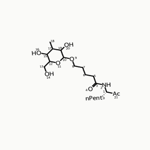 CCCCC[C@H](NC(=O)CCCCOC1OC(CO)C(O)C(C)C1O)C(C)=O